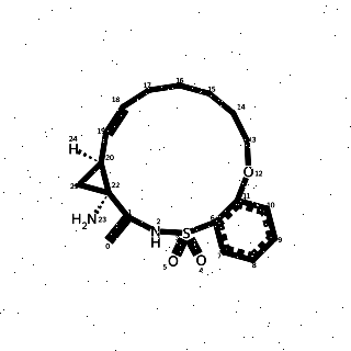 C=C1NS(=O)(=O)c2ccccc2OCCCCC/C=C\[C@@H]2C[C@]12N